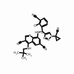 CC(C)(C)CNc1c(C#N)cnc2c(N[C@H](c3cn(C4(C#N)CC4)nn3)c3cccc(C#N)c3Cl)cc(C#N)cc12